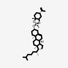 C=C(C)[C@H]1CC[C@@]2(C)OP(=S)(O[C@H]3CC[C@@]4(C)C(=CC[C@@H]5C4CC[C@@]4(C)C5CC[C@@H]4[C@H](C)CCCC(C)C)C3)SC2C1